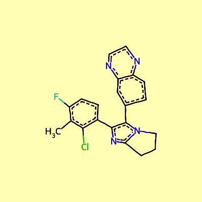 Cc1c(F)ccc(-c2nc3n(c2-c2ccc4nccnc4c2)CCC3)c1Cl